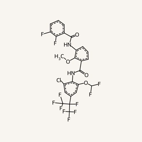 COc1c(NC(=O)c2cccc(F)c2F)cccc1C(=O)Nc1c(Cl)cc(C(F)(C(F)(F)F)C(F)(F)F)cc1OC(F)F